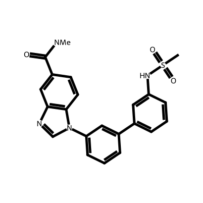 CNC(=O)c1ccc2c(c1)ncn2-c1cccc(-c2cccc(NS(C)(=O)=O)c2)c1